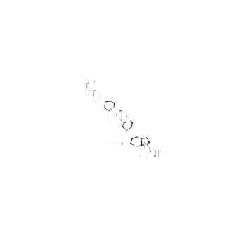 CNC(=O)n1ccc2cc(Oc3ccnc(NC(=O)c4ccc(C5CCN(C[C@H](C)O)CC5)cc4)c3)c(OCCCOC)cc21